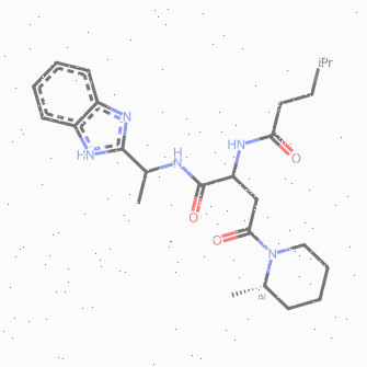 CC(C)CCC(=O)NC(CC(=O)N1CCCC[C@@H]1C)C(=O)NC(C)c1nc2ccccc2[nH]1